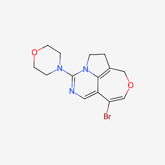 BrC1=COCC2=C3C1=CN=C(N1CCOCC1)N3CC2